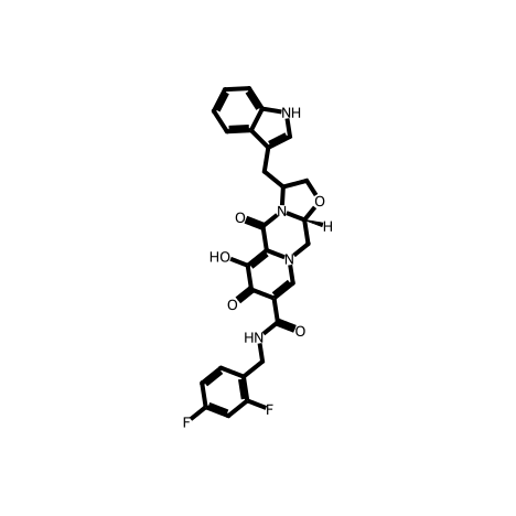 O=C(NCc1ccc(F)cc1F)c1cn2c(c(O)c1=O)C(=O)N1C(Cc3c[nH]c4ccccc34)CO[C@@H]1C2